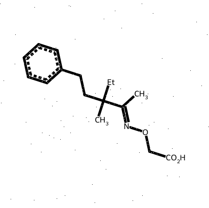 CCC(C)(CCc1ccccc1)C(C)=NOCC(=O)O